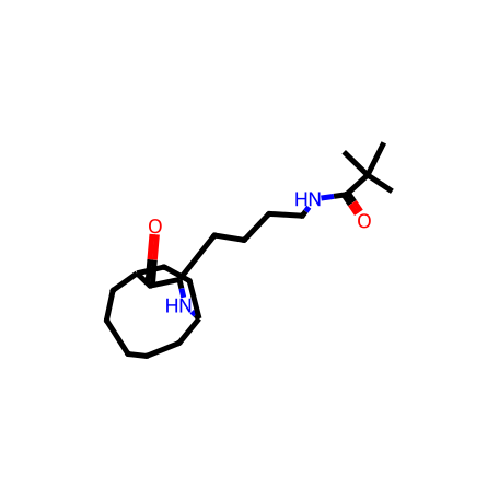 CC(C)(C)C(=O)NCCCCC1NC2CCCCCC(CC2)C1=O